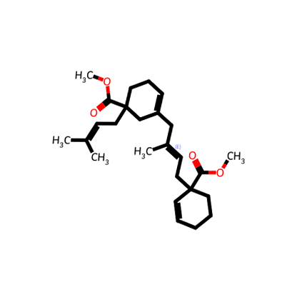 COC(=O)C1(C/C=C(\C)CC2=CCCC(CC=C(C)C)(C(=O)OC)C2)C=CCCC1